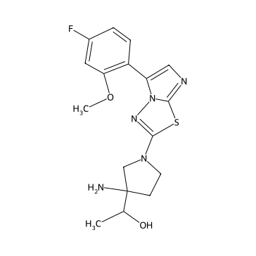 COc1cc(F)ccc1-c1cnc2sc(N3CCC(N)(C(C)O)C3)nn12